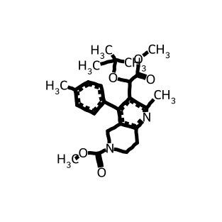 COC(=O)C(OC(C)(C)C)c1c(C)nc2c(c1-c1ccc(C)cc1)CN(C(=O)OC)CC2